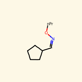 CCCO/N=[C]\C1CCCC1